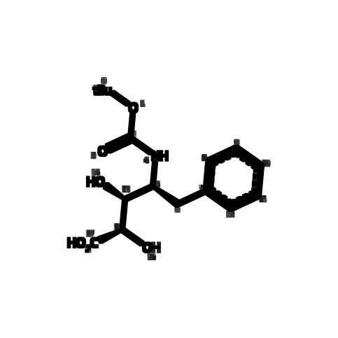 CC(C)(C)OC(=O)N[C@@H](Cc1ccccc1)[C@H](O)[C@@H](O)C(=O)O